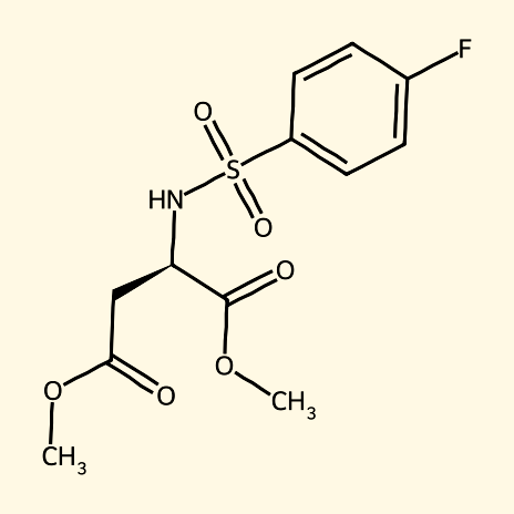 COC(=O)C[C@@H](NS(=O)(=O)c1ccc(F)cc1)C(=O)OC